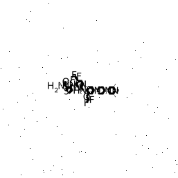 C[C@@H]1CN(C2CCN(c3ccc(Nc4ncc(C(F)(F)F)c(Nc5ccsc5C(N)=O)n4)c(OC(F)F)c3)CC2)C[C@H](C)N1C